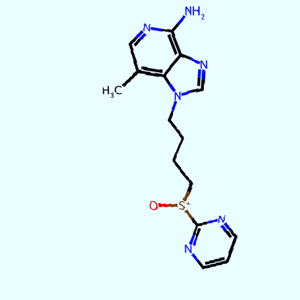 Cc1cnc(N)c2ncn(CCCC[S+]([O-])c3ncccn3)c12